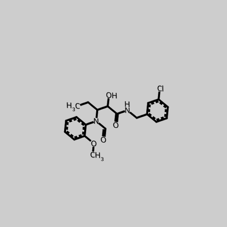 CCC(C(O)C(=O)NCc1cccc(Cl)c1)N(C=O)c1ccccc1OC